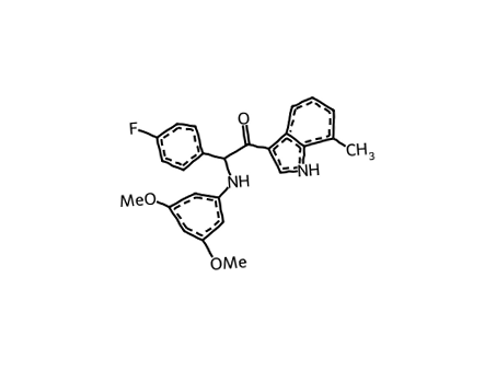 COc1cc(NC(C(=O)c2c[nH]c3c(C)cccc23)c2ccc(F)cc2)cc(OC)c1